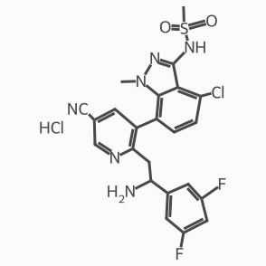 Cl.Cn1nc(NS(C)(=O)=O)c2c(Cl)ccc(-c3cc(C#N)cnc3CC(N)c3cc(F)cc(F)c3)c21